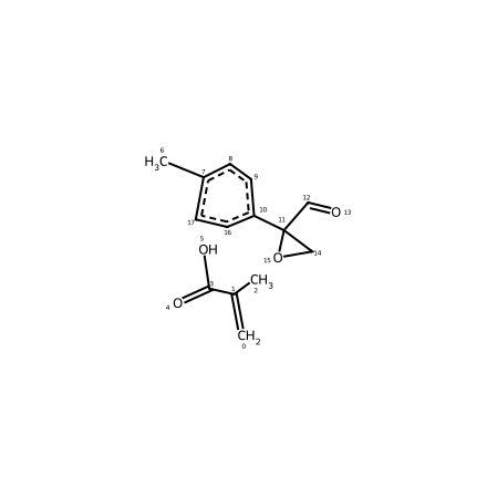 C=C(C)C(=O)O.Cc1ccc(C2(C=O)CO2)cc1